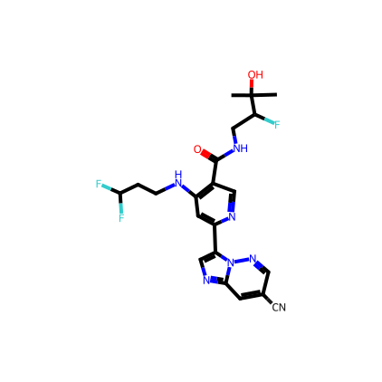 CC(C)(O)C(F)CNC(=O)c1cnc(-c2cnc3cc(C#N)cnn23)cc1NCCC(F)F